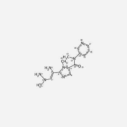 CN(N)/C=C(\N)c1ncc(C(=O)N(C)c2cccnc2)n1C